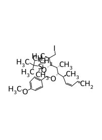 C=C/C=C\[C@H](C)[C@H](OCc1ccc(OC)cc1)[C@@H](C)[C@H](O[Si](C)(C)C(C)(C)C)[C@@H](C)CI